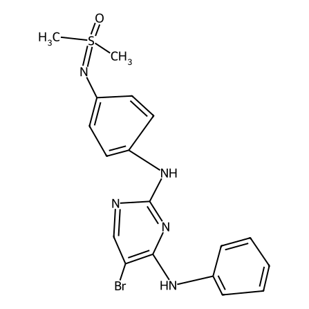 CS(C)(=O)=Nc1ccc(Nc2ncc(Br)c(Nc3ccccc3)n2)cc1